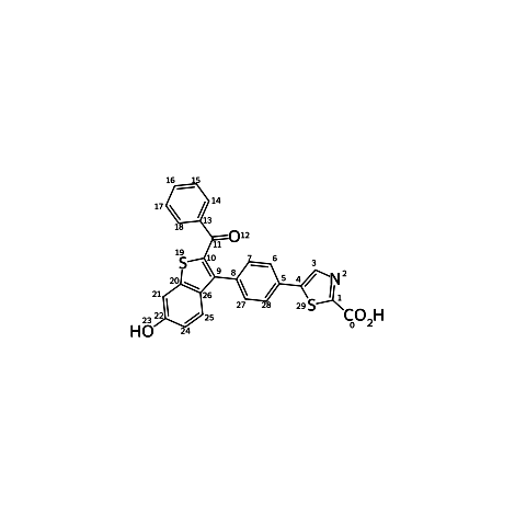 O=C(O)c1ncc(-c2ccc(-c3c(C(=O)c4ccccc4)sc4cc(O)ccc34)cc2)s1